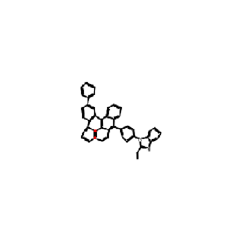 CCc1nc2ccccc2n1-c1ccc(-c2c3ccccc3c(-c3cc(-c4ccccc4)ccc3-c3ccccc3)c3ccccc23)cc1